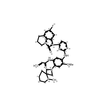 C=CC(=O)Nc1cc(Nc2nccc(-n3c(=O)n4c5c(cc(F)cc53)CCC4)n2)c(OC)cc1N1CC2(CCCCN2C)C1